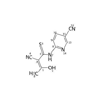 CC(O)=C(C#N)C(=S)Nc1ccc(C#N)cn1